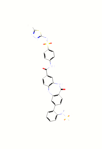 Cc1nnc(NS(=O)(=O)c2ccc(NC(=O)c3ccc4c(c3)NC(=O)c3ccc(-c5ccccc5N(C)S(C)(=O)=O)cc3N4)cc2)s1